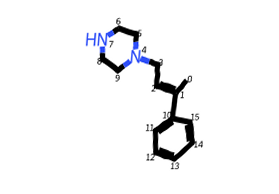 C/C(=C\CN1CCNCC1)c1ccccc1